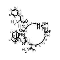 N=C1NCCC[C@@H](NC(=O)[C@@H](N)Cc2ccccc2)C(=O)N[C@@H](CC23CC4CC(CC(C4)C2)C3)C(=O)N[C@H](C(N)=O)CCCCNC(=O)N1